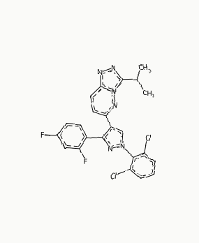 CC(C)c1nnc2ccc(-c3cn(-c4c(Cl)cccc4Cl)nc3-c3ccc(F)cc3F)nn12